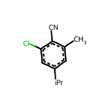 Cc1cc(C(C)C)cc(Cl)c1C#N